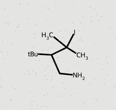 CC(C)(C)C(CN)C(C)(C)I